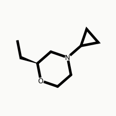 CC[C@H]1CN(C2CC2)CCO1